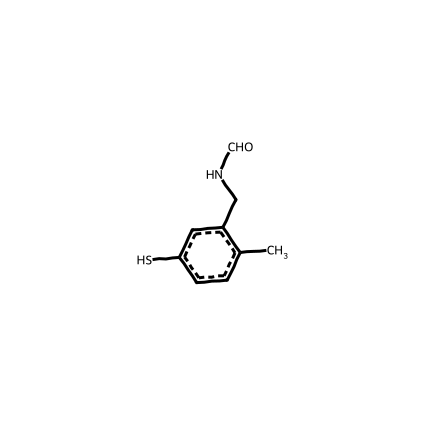 Cc1ccc(S)cc1CNC=O